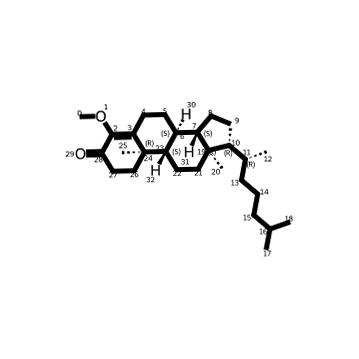 COC1=C2CC[C@H]3[C@@H]4CC[C@H]([C@H](C)CCCC(C)C)[C@@]4(C)CC[C@@H]3[C@@]2(C)CCC1=O